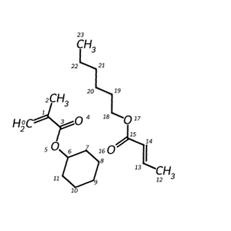 C=C(C)C(=O)OC1CCCCC1.CC=CC(=O)OCCCCCC